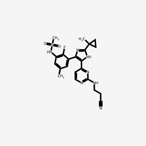 Cc1cc(NS(C)(=O)=O)c(F)c(-c2nc(C3(C)CC3)[nH]c2-c2ccnc(NCCC#N)n2)c1